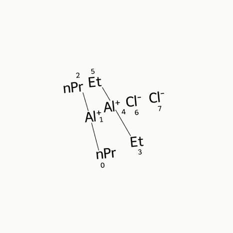 CC[CH2][Al+][CH2]CC.C[CH2][Al+][CH2]C.[Cl-].[Cl-]